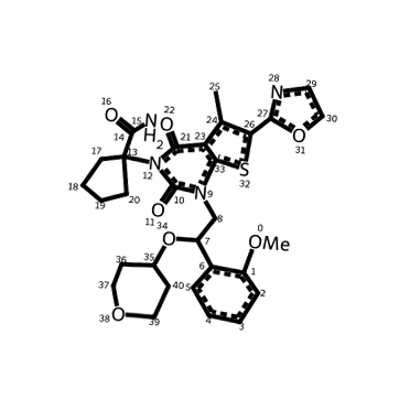 COc1ccccc1C(Cn1c(=O)n(C2(C(N)=O)CCCC2)c(=O)c2c(C)c(-c3ncco3)sc21)OC1CCOCC1